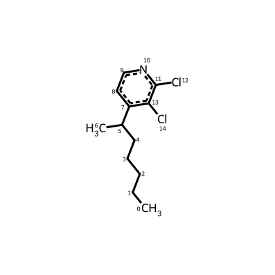 CCCCCC(C)c1ccnc(Cl)c1Cl